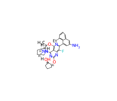 CCc1cccc2cc(N)cc(-c3nc4c5c(nc(O[C@@H]6CCC[C@H]6O)nc5c3F)N3C[C@H]5CC[C@H](N5)[C@H]3[C@H](C)O4)c12